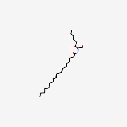 CCCCCCCCC=CCCCCCCCC(=O)NC(CO)C(O)CCCCC